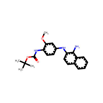 COc1cc(Nc2ccc3ccccc3c2N)ccc1NC(=O)OC(C)(C)C